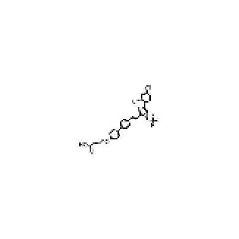 O=C(O)CCCOc1ccc(-c2ccc(C=Cc3nc(-c4ccc(Cl)cc4Cl)cn3CC(F)(F)F)cc2)cc1